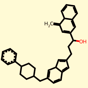 C=C1C=C(C(O)CCC2=CC3C=C(CC4CCC(c5ccccc5)CC4)C=CC3=C2)C=C2C=CC=CC12